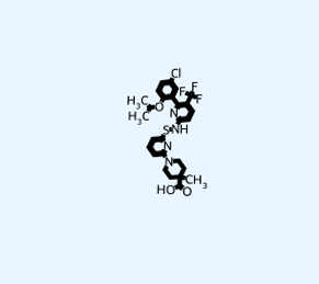 CC(C)Oc1ccc(Cl)cc1-c1nc(NSc2cccc(N3CCC(C)(C(=O)O)CC3)n2)ccc1C(F)(F)F